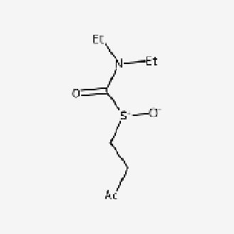 CCN(CC)C(=O)[S+]([O-])CCC(C)=O